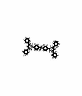 CC(C)(c1ccc(-c2nc(-c3ccccc3)cc(-c3ccccc3)n2)cc1)c1ccc(-c2nc(-c3ccccc3)cc(-c3ccccc3)n2)cc1